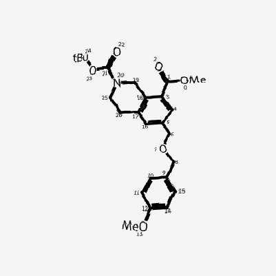 COC(=O)c1cc(COCc2ccc(OC)cc2)cc2c1CN(C(=O)OC(C)(C)C)CC2